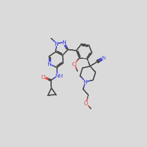 COCCN1CCC(C#N)(c2cccc(-c3nn(C)c4cnc(NC(=O)C5CC5)cc34)c2OC)CC1